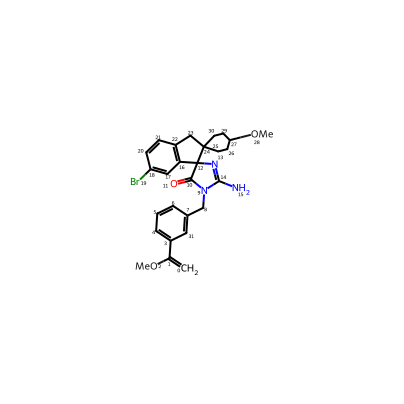 C=C(OC)c1cccc(CN2C(=O)C3(N=C2N)c2cc(Br)ccc2CC32CCC(OC)CC2)c1